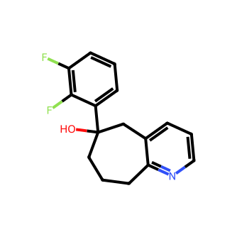 OC1(c2cccc(F)c2F)CCCc2ncccc2C1